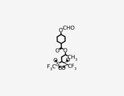 CC(CC(S(=O)(=O)C(F)(F)F)S(=O)(=O)C(F)(F)F)OC(=O)C1CCC(OC=O)CC1